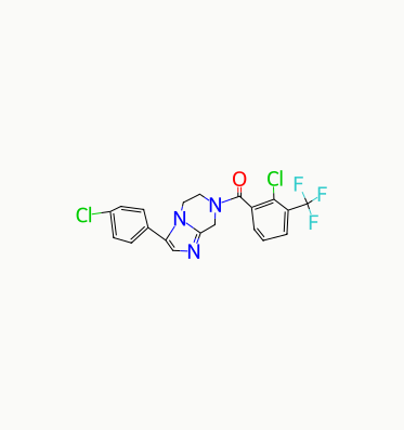 O=C(c1cccc(C(F)(F)F)c1Cl)N1CCn2c(-c3ccc(Cl)cc3)cnc2C1